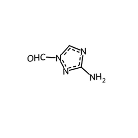 Nc1ncn(C=O)n1